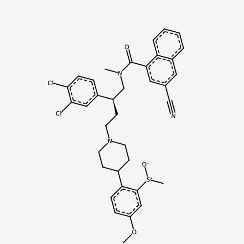 COc1ccc(C2CCN(CC[C@H](CN(C)C(=O)c3cc(C#N)cc4ccccc34)c3ccc(Cl)c(Cl)c3)CC2)c([S+](C)[O-])c1